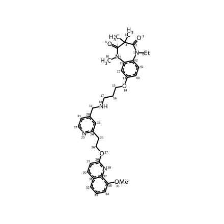 CCN1C(=O)C(C)(C)C(=O)N(C)c2cc(OCCCNCc3ccnc(CCOc4ccc5cccc(OC)c5n4)c3)ccc21